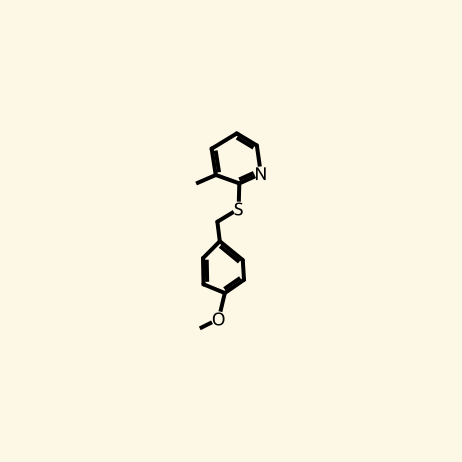 COc1ccc(CSc2ncccc2C)cc1